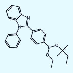 CCOB(OC(C)(C)CC)c1ccc(-c2nc3ccccc3n2-c2ccccc2)cc1